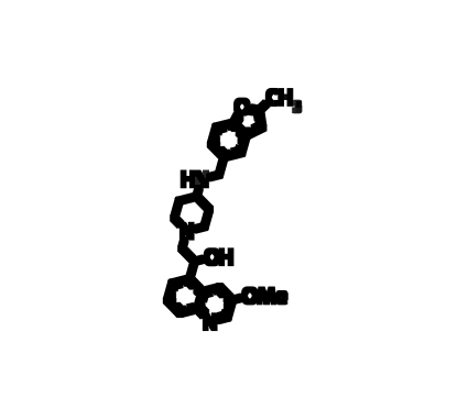 COc1cnc2cccc(C(O)CN3CCC(NCc4ccc5oc(C)cc5c4)CC3)c2c1